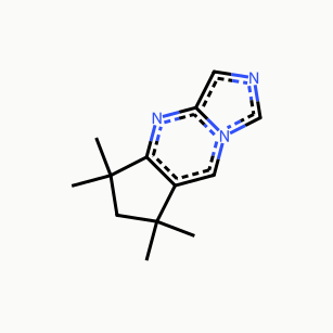 CC1(C)CC(C)(C)c2nc3cncn3cc21